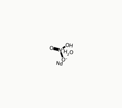 O.O=[N+]([O-])O.[Nd]